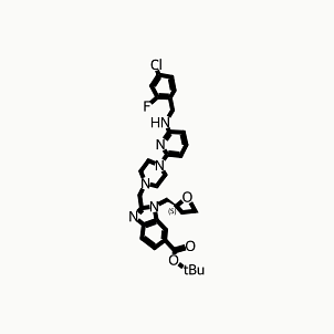 CC(C)(C)OC(=O)c1ccc2nc(CN3CCN(c4cccc(NCc5ccc(Cl)cc5F)n4)CC3)n(C[C@@H]3CCO3)c2c1